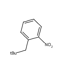 CC(C)(C)Cc1ccccc1[N+](=O)[O-]